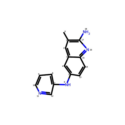 Cc1cc2cc(Nc3cccnc3)ccc2nc1N